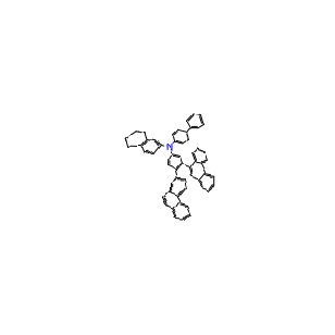 c1ccc(-c2ccc(N(c3ccc4c(c3)CCCC4)c3ccc(-c4ccc5c(ccc6ccccc65)c4)c(-c4cc5ccccc5c5ccccc45)c3)cc2)cc1